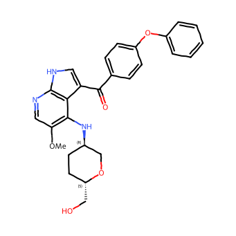 COc1cnc2[nH]cc(C(=O)c3ccc(Oc4ccccc4)cc3)c2c1N[C@@H]1CC[C@@H](CO)OC1